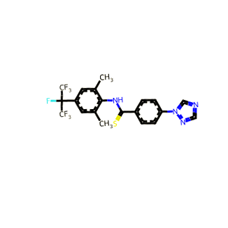 Cc1cc(C(F)(C(F)(F)F)C(F)(F)F)cc(C)c1NC(=S)c1ccc(-n2cncn2)cc1